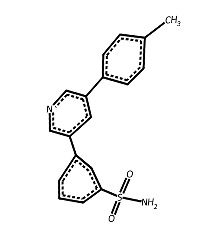 Cc1ccc(-c2cncc(-c3cccc(S(N)(=O)=O)c3)c2)cc1